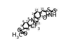 CS(=O)(=O)c1ccc(Cn2ncc3cc(C=C4SC(=S)NC4=O)ccc32)c(C(F)(F)F)c1